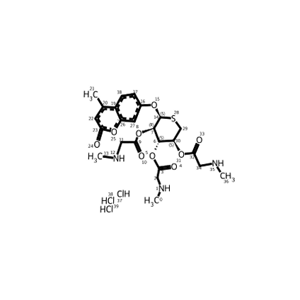 CNCC(=O)O[C@@H]1[C@@H](OC(=O)CNC)[C@@H](Oc2ccc3c(C)cc(=O)oc3c2)SC[C@H]1OC(=O)CNC.Cl.Cl.Cl